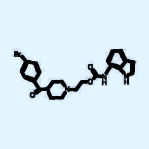 O=C(Nc1cccc2cc[nH]c12)OCCN1CCC(C(=O)c2ccc(Br)cc2)CC1